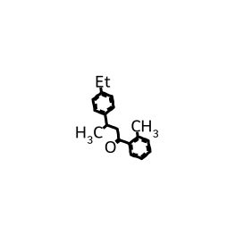 CCc1ccc(C(C)CC(=O)c2ccccc2C)cc1